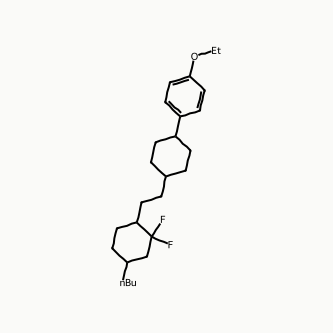 CCCCC1CCC(CCC2CCC(c3ccc(OCC)cc3)CC2)C(F)(F)C1